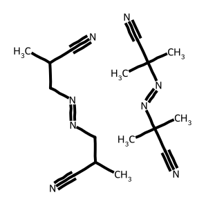 CC(C#N)CN=NCC(C)C#N.CC(C)(C#N)N=NC(C)(C)C#N